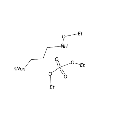 CCCCCCCCCCCCNOCC.CCOS(=O)(=O)OCC